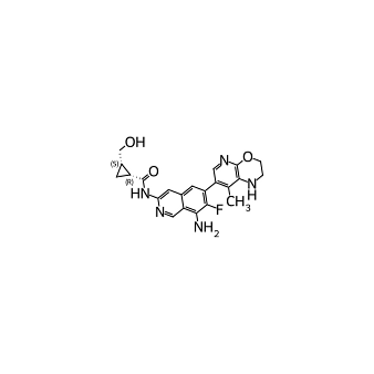 Cc1c(-c2cc3cc(NC(=O)[C@@H]4C[C@@H]4CO)ncc3c(N)c2F)cnc2c1NCCO2